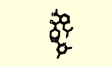 CNc1ccnc(CC(F)F)c1C(=O)N1CC2CC(C1)N(c1cc(C)cc(C)n1)C2